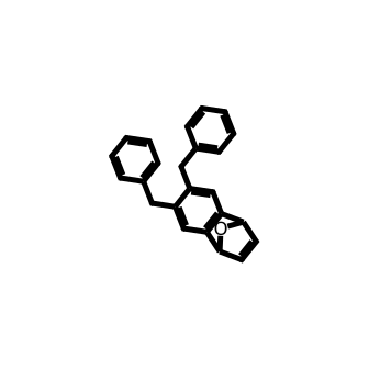 C1=CC2OC1c1cc(Cc3ccccc3)c(Cc3ccccc3)cc12